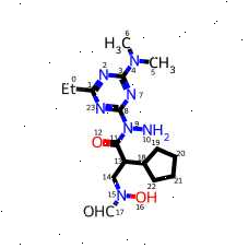 CCc1nc(N(C)C)nc(N(N)C(=O)C(CN(O)C=O)C2CCCC2)n1